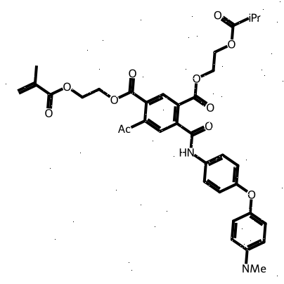 C=C(C)C(=O)OCCOC(=O)c1cc(C(=O)OCCOC(=O)C(C)C)c(C(=O)Nc2ccc(Oc3ccc(NC)cc3)cc2)cc1C(C)=O